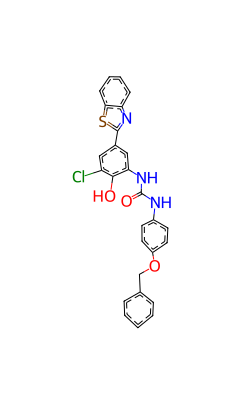 O=C(Nc1ccc(OCc2ccccc2)cc1)Nc1cc(-c2nc3ccccc3s2)cc(Cl)c1O